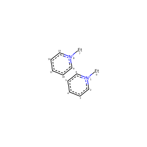 CC[n+]1ccccc1.CC[n+]1ccccc1